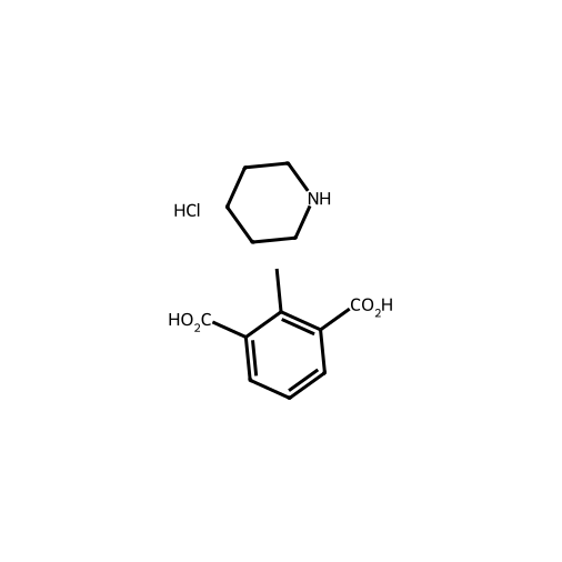 C1CCNCC1.Cc1c(C(=O)O)cccc1C(=O)O.Cl